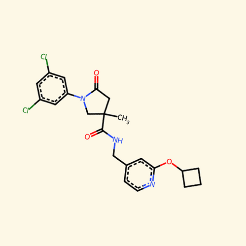 CC1(C(=O)NCc2ccnc(OC3CCC3)c2)CC(=O)N(c2cc(Cl)cc(Cl)c2)C1